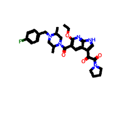 CCOc1nc2[nH]cc(C(=O)C(=O)N3CCCC3)c2cc1C(=O)N1CC(C)N(Cc2ccc(F)cc2)CC1C